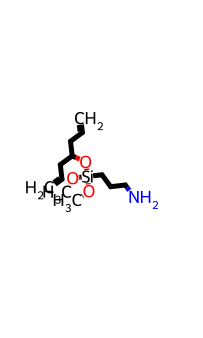 C=CCC(CC=C)O[Si](CCCN)(OC)OC